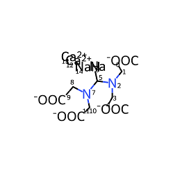 O=C([O-])CN(CC(=O)[O-])[CH]([Na])N(CC(=O)[O-])CC(=O)[O-].[Ca+2].[Ca+2].[NaH]